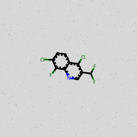 Fc1c(Cl)ccc2c(Cl)c(C(F)F)cnc12